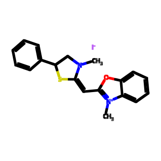 CN1CC(c2ccccc2)S/C1=C/c1oc2ccccc2[n+]1C.[I-]